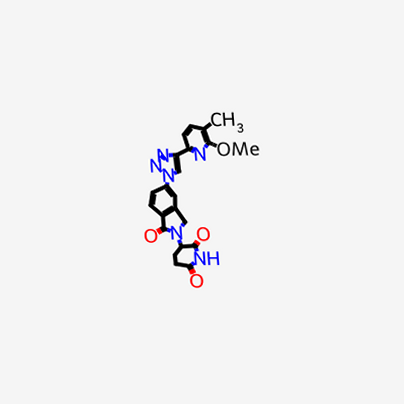 COc1nc(-c2cn(-c3ccc4c(c3)CN(C3CCC(=O)NC3=O)C4=O)nn2)ccc1C